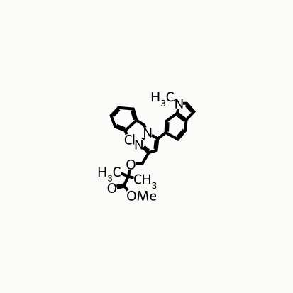 COC(=O)C(C)(C)OCc1cc(-c2ccc3ccn(C)c3c2)n(Cc2ccccc2Cl)n1